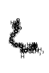 CC1=C(C(=O)Nc2ccc3[nH]nc(-c4ccnc(N5CCN(CC6CCN(CC7CCN(c8ccc9c(c8)C(=O)N(C8CCC(=O)NC8=O)C9=O)CC7)CC6)CC5)c4)c3c2)[C@@H](C)n2nnnc2N1C